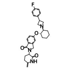 C=C1CCC(N2Cc3cc(O[C@H]4CCCC[C@@H]4N4CC(c5ccc(F)cc5)C4)ccc3C2=O)C(=O)N1